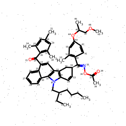 CCCCC(CC)Cn1c2c(c3cc(C(=O)c4c(C)cc(C)cc4C)c4ccccc4c31)C[C@@H](/C(=N\OC(C)=O)c1ccc(OC(C)COC)cc1C)C=C2